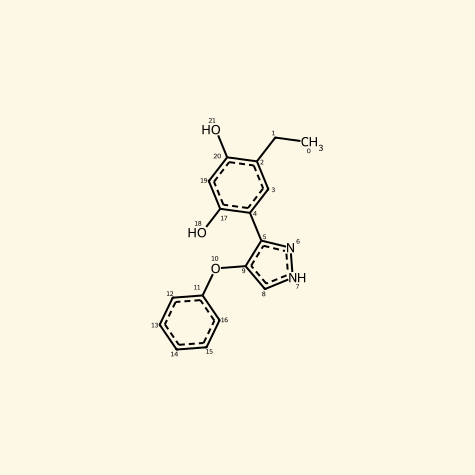 CCc1cc(-c2n[nH]cc2Oc2ccccc2)c(O)cc1O